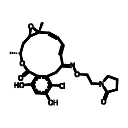 C[C@@H]1CC2O[C@]2(C)\C=C/C=C/C(=N/OCCN2CCCC2=O)Cc2c(Cl)c(O)cc(O)c2C(=O)O1